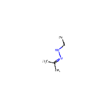 CC(C)=NNCC(C)C